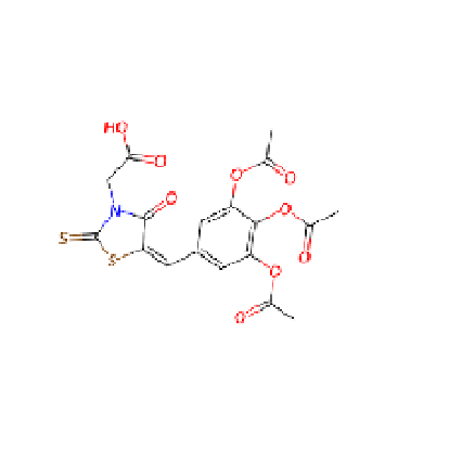 CC(=O)Oc1cc(C=C2SC(=S)N(CC(=O)O)C2=O)cc(OC(C)=O)c1OC(C)=O